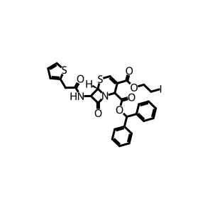 O=C(Cc1cccs1)NC1C(=O)N2C(C(=O)OC(c3ccccc3)c3ccccc3)C(C(=O)OCCI)=CS[C@@H]12